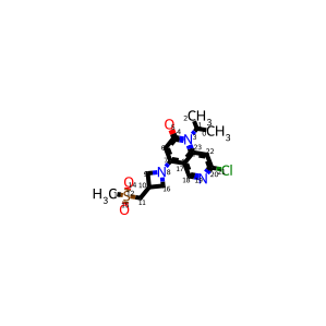 CC(C)n1c(=O)cc(N2CC(CS(C)(=O)=O)C2)c2cnc(Cl)cc21